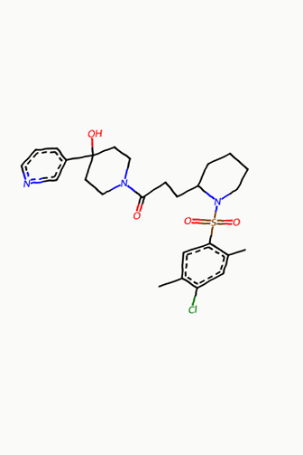 Cc1cc(S(=O)(=O)N2CCCCC2CCC(=O)N2CCC(O)(c3cccnc3)CC2)c(C)cc1Cl